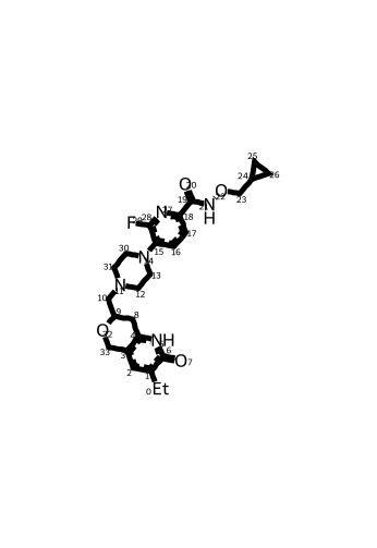 CCc1cc2c([nH]c1=O)CC(CN1CCN(c3ccc(C(=O)NOCC4CC4)nc3F)CC1)OC2